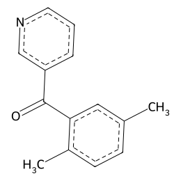 Cc1ccc(C)c(C(=O)c2cccnc2)c1